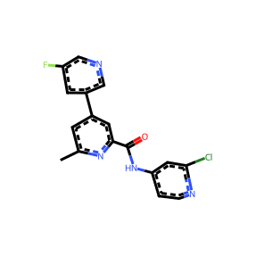 Cc1cc(-c2cncc(F)c2)cc(C(=O)Nc2ccnc(Cl)c2)n1